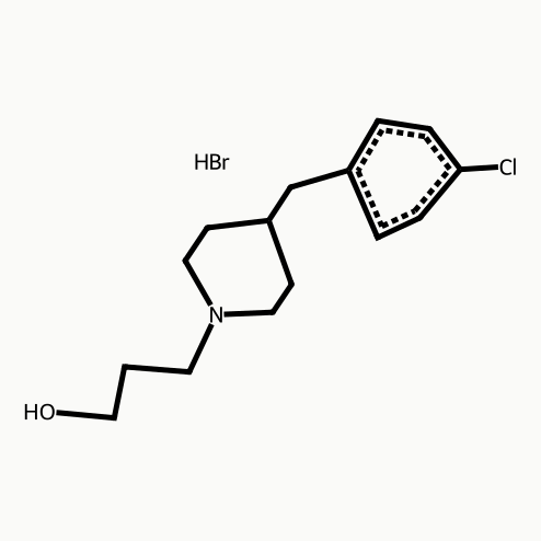 Br.OCCCN1CCC(Cc2ccc(Cl)cc2)CC1